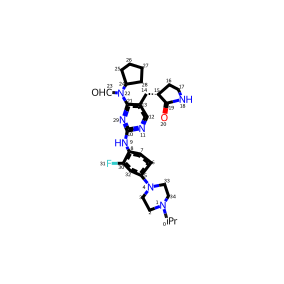 CC(C)N1CCN(c2ccc(Nc3ncc(C[C@@H]4CCNC4=O)c(N(C=O)C4CCCC4)n3)c(F)c2)CC1